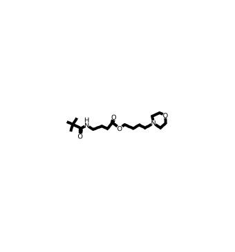 CC(C)(C)C(=O)NCCCC(=O)OCCCCN1CCOCC1